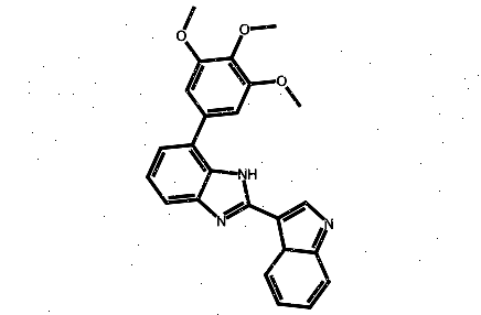 COc1cc(-c2cccc3nc(C4=CN=C5C=CC=CC45)[nH]c23)cc(OC)c1OC